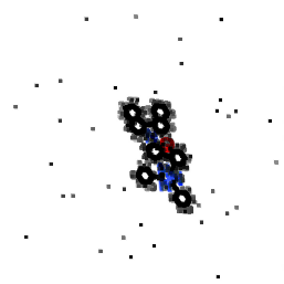 c1ccc(-c2nc(-c3ccccc3)nc(-c3cccc4oc5c(-n6c7ccc8ccccc8c7c7c8ccccc8ccc76)cccc5c34)n2)cc1